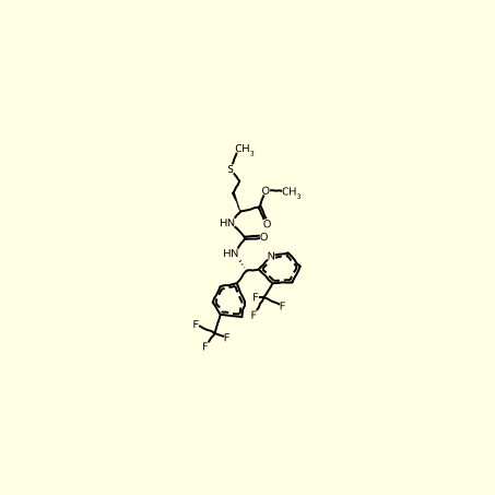 COC(=O)[C@H](CCSC)NC(=O)N[C@@H](c1ccc(C(F)(F)F)cc1)c1ncccc1C(F)(F)F